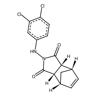 O=C1[C@@H]2[C@H](C(=O)N1Nc1ccc(Cl)c(Cl)c1)[C@@H]1C=C[C@H]2C1